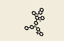 CC1(C)c2ccccc2-c2ccc(N(c3ccc(-c4ccccc4)cc3)c3ccc(-c4cc5c6ccccc6n(-c6ccc7ccccc7c6)c5c5c4sc4ccccc45)cc3)cc21